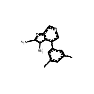 Cc1cc(C)cc(-c2cncc3oc(N)c(N)c23)c1